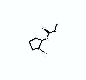 CCC(=O)OC1CCC[C@@H]1O